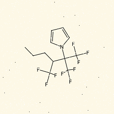 CCCC(C(F)(F)F)C(n1cccc1)(C(F)(F)F)C(F)(F)F